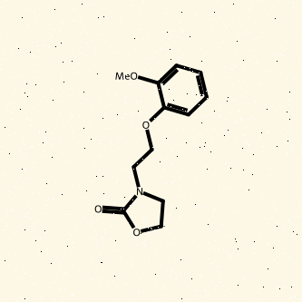 COc1ccccc1OCCN1C[CH]OC1=O